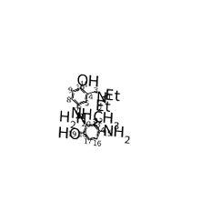 CCN(CC)Cc1cc(N)ccc1O.Cc1c(N)ccc(O)c1N